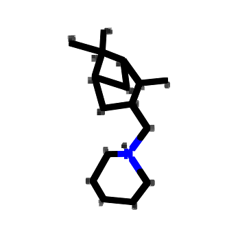 CC1C(CN2CCCCC2)CC2CC1C2(C)C